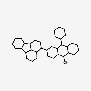 OC1C2CCCCC2C(C2CCCCC2)C2CC(C3CCC4C5CCCCC5C5CCCC3C54)CCC12